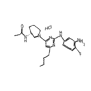 CCCCc1cc(N2CCC[C@@H](NC(C)=O)C2)nc(Nc2ccc(F)c(N)c2)n1.Cl